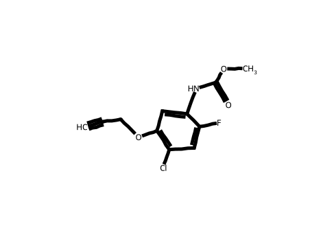 C#CCOc1cc(NC(=O)OC)c(F)cc1Cl